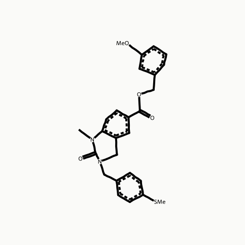 COc1cccc(COC(=O)c2ccc3c(c2)CN(Cc2ccc(SC)cc2)C(=O)N3C)c1